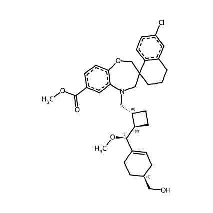 COC(=O)c1ccc2c(c1)N(C[C@@H]1CC[C@H]1[C@H](OC)C1=CC[C@@H](CO)CC1)CC1(CCCc3cc(Cl)ccc31)CO2